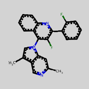 Cc1cc2c(cn1)c(C)cn2-c1c(F)c(-c2ccccc2F)nc2ccccc12